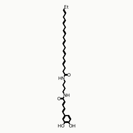 CCC=CCC=CCC=CCC=CCC=CCC=CCCC(=O)NCCCCNC(=O)C=CC=Cc1ccc(O)c(O)c1